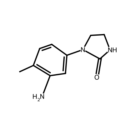 Cc1ccc(N2CCNC2=O)cc1N